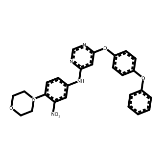 O=[N+]([O-])c1cc(Nc2cc(Oc3ccc(Oc4ccccc4)cc3)ncn2)ccc1N1CCOCC1